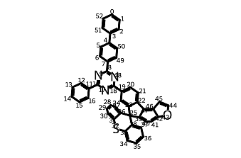 c1ccc(-c2ccc(-c3nc(-c4ccccc4)nc(-c4ccc5c(c4)C4(c6ccccc6Sc6ccccc64)c4ccc6occc6c4-5)n3)cc2)cc1